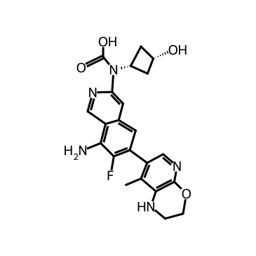 Cc1c(-c2cc3cc(N(C(=O)O)[C@H]4C[C@@H](O)C4)ncc3c(N)c2F)cnc2c1NCCO2